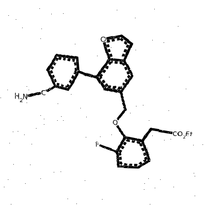 CCOC(=O)Cc1cccc(F)c1OCc1cc(-c2cccc(CN)c2)c2occc2c1